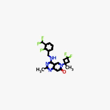 Cc1nc(NCc2cccc(C(F)F)c2F)c2cn(C3(C)CC(F)(F)C3)c(=O)cc2n1